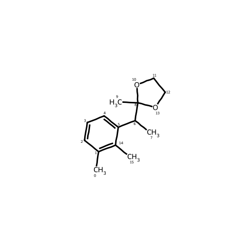 Cc1cccc(C(C)C2(C)OCCO2)c1C